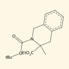 CCOC(=O)C1(C)Cc2ccccc2CN1C(=O)OC(C)(C)C